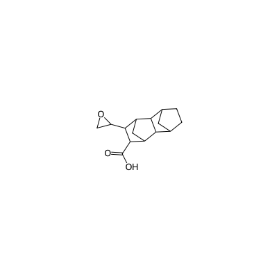 O=C(O)C1C2CC(C1C1CO1)C1C3CCC(C3)C21